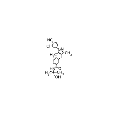 Cc1nn(-c2ccc(C#N)c(Cl)c2)c(C)c1Cc1cccc(C(=O)NC(C)(C)CO)c1